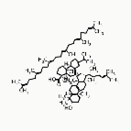 CC(C)=CCC/C(C)=C/CC/C(C)=C/CC/C=C(\C)CC/C=C(\C)CCC=C(C)C.CC(C)=CCC[C@@H](C)[C@H]1CC[C@@]2(C)C3=C(CC[C@]12C)[C@@]1(C)CC[C@H](O)C(C)(C)[C@@H]1CC3.CC(C)C1=CC2=CC[C@@H]3[C@](C)(CCC[C@@]3(C)C(=O)O)[C@H]2CC1